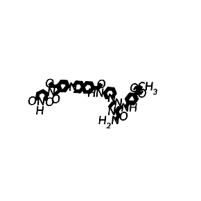 CS(=O)(=O)c1ccc(Nc2nc(N3CCC[C@@H](NC(=O)C4CCC5(CC4)CCN(c4ccc6c(c4)C(=O)N(C4CCC(=O)NC4=O)C6=O)CC5)C3)cnc2C(N)=O)cc1